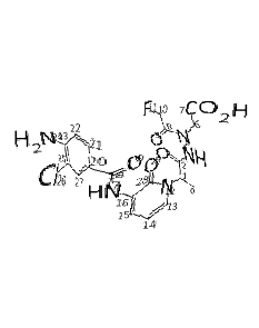 CC(C(=O)NN(CC(=O)O)C(=O)CF)n1cccc(NC(=O)c2ccc(N)c(Cl)c2)c1=O